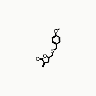 C=C1CC(CSCc2ccc(OC)cc2)OC1=O